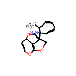 NC1(C23COC4=C2C(C=CO4)OC3)C=CC=CC1C(=O)O